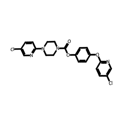 O=C(Oc1ccc(Oc2ccc(Cl)cn2)cc1)N1CCN(c2ccc(Cl)cn2)CC1